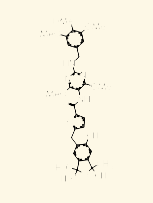 COc1cc(CNc2nc(OC)c(NC(=O)c3ccc(Cc4cc5c(cc4C)C(C)(C)OC5(C)C)o3)c(OC)n2)cc(OC)c1OC